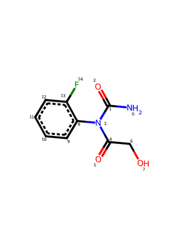 NC(=O)N(C(=O)CO)c1ccccc1F